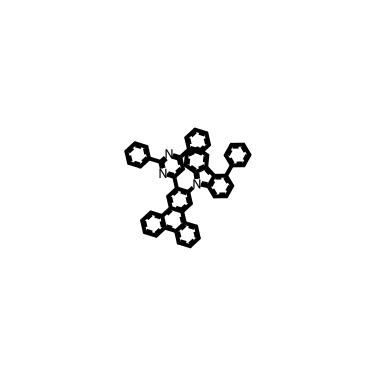 c1ccc(-c2cc(-c3cc4c5ccccc5c5ccccc5c4cc3-n3c4ccccc4c4c(-c5ccccc5)cccc43)nc(-c3ccccc3)n2)cc1